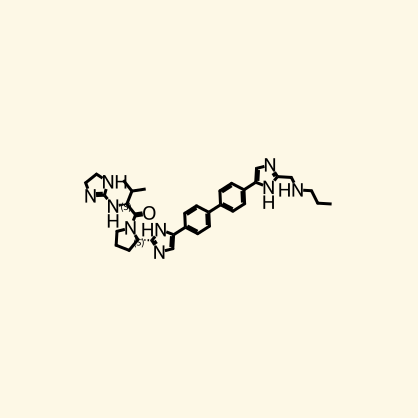 CCCNCc1ncc(-c2ccc(-c3ccc(-c4cnc([C@@H]5CCCN5C(=O)[C@@H](NC5=NCCN5)C(C)C)[nH]4)cc3)cc2)[nH]1